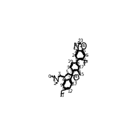 CN(C)CCCC1(c2ccc(F)cc2)OCc2cc(-c3cc4ncoc4cc3F)ccc21